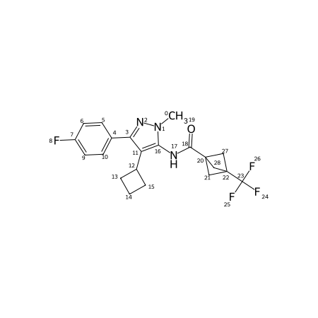 Cn1nc(-c2ccc(F)cc2)c(C2CCC2)c1NC(=O)C12CC(C(F)(F)F)(C1)C2